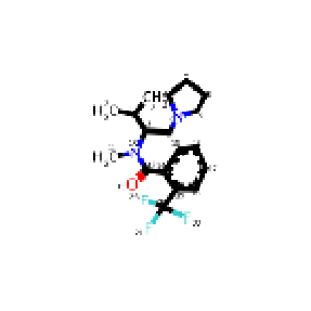 CC(C)C(CN1CCCC1)N(C)C(=O)c1ccccc1C(F)(F)F